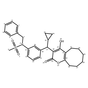 CS(=O)(=O)N(Cc1ccccc1)c1cccc(C(c2c(O)c3c(oc2=O)CCCCCC3)C2CC2)c1